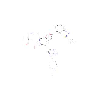 CNc1nc2cccc(-c3cc4c(-c5cnn(C6CCN(C(C)=O)CC6)c5)cnc(N)c4o3)c2s1.O=C(O)C(F)(F)F